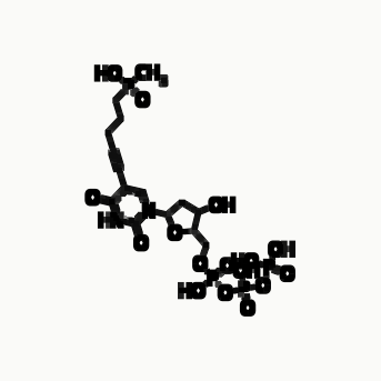 CP(=O)(O)CCCC#Cc1cn(C2CC(O)C(COP(=O)(O)OP(=O)(O)OP(=O)(O)O)O2)c(=O)[nH]c1=O